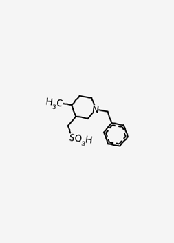 CC1CCN(Cc2ccccc2)CC1CS(=O)(=O)O